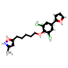 Cc1cc(CCCCCOc2c(Cl)cc(-c3ccco3)cc2Cl)on1